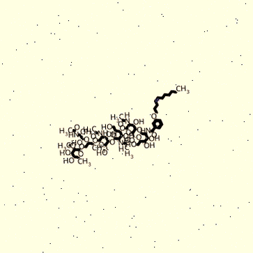 CCCCCC/C=C\CCCOc1cccc(C(=O)N[C@@H]2C(O[C@H]3C(O)C(NC(C)=O)[C@H](OC4C(CO)O[C@@H](O[C@H]5C(O)C(NC(C)=O)[C@H](OC(C)C(CO[C@@H]6OC(C)C(O)[C@H](O)[C@H]6OC)OC(O)C(O)NC(C)=O)O[C@H]5CO)[C@@H](NC(C)=O)[C@H]4O)O[C@H]3CO)OC(CO)[C@@H](O)[C@@H]2O)c1